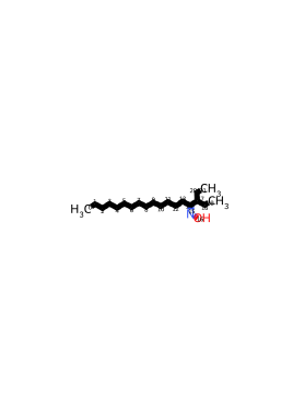 CCCCCCCCCCCCCCC(=NO)C(CC)CC